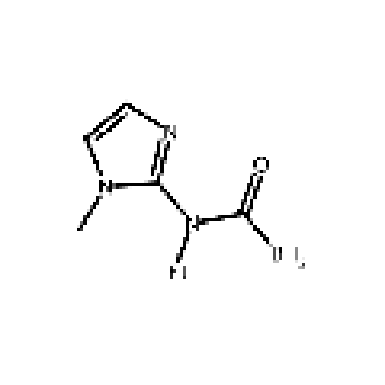 BC(=O)N(CC)c1nccn1C